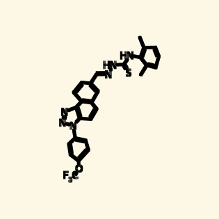 Cc1cccc(C)c1NC(=S)NN=Cc1ccc2c(ccc3c2nnn3-c2ccc(OC(F)(F)F)cc2)c1